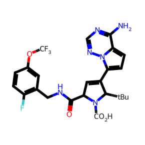 CC(C)(C)C1C(c2ccc3c(N)ncnn23)=CC(C(=O)NCc2cc(OC(F)(F)F)ccc2F)N1C(=O)O